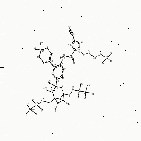 [2H]C1C([2H])C2(CO[Si](C)(C)C(C)(C)C)OC1(CO[Si](C)(C)C(C)(C)C)CC([2H])(c1ccc(NC(=O)c3nc(C#N)cn3COCC[Si](C)(C)C)c(C3=CCC(C)(C)CC3)n1)C2[2H]